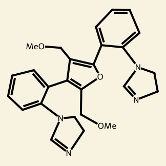 COCc1oc(-c2ccccc2N2C=NCC2)c(COC)c1-c1ccccc1N1C=NCC1